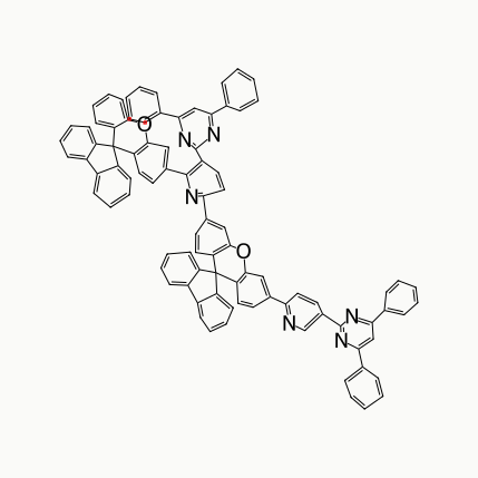 c1ccc(-c2cc(-c3ccccc3)nc(-c3ccc(-c4ccc5c(c4)Oc4cc(-c6ccc(-c7nc(-c8ccccc8)cc(-c8ccccc8)n7)c(-c7ccc8c(c7)Oc7ccccc7C87c8ccccc8-c8ccccc87)n6)ccc4C54c5ccccc5-c5ccccc54)nc3)n2)cc1